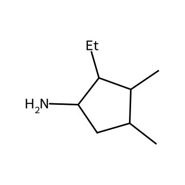 CCC1C(N)CC(C)C1C